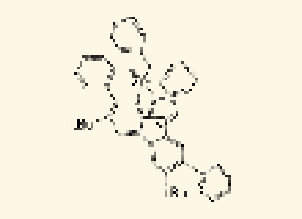 [CH2]=[Zr]([CH2]c1ccccc1)([C]1=CC=CC1)([c]1ccccc1)[c]1c2c(cc(C(C)(C)C)c1-c1ccccc1)-c1cc(C(C)(C)C)c(-c3ccccc3)cc1C2